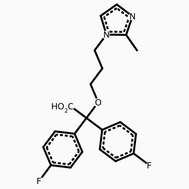 Cc1nccn1CCCOC(C(=O)O)(c1ccc(F)cc1)c1ccc(F)cc1